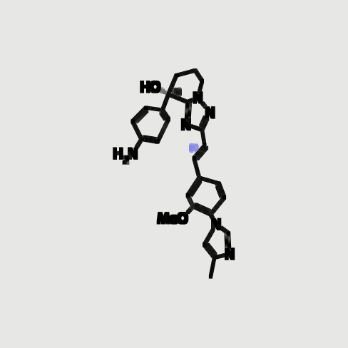 COc1cc(/C=C/c2nc3n(n2)CCC[C@]3(O)c2ccc(N)cc2)ccc1-n1cnc(C)c1